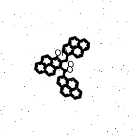 O=C(c1c(O)c2ccc3cccc4ccc(c1C(=O)c1ccc5ccc6cccc7ccc1c5c67)c2c34)c1ccc2ccc3cccc4ccc1c2c34